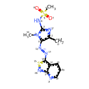 Cc1nc(NS(C)(=O)=O)n(C)c1/N=N/c1snc2ncccc12